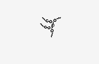 CCCCC[C@H]1CC[C@H](C(CCOCCC([C@H]2CC[C@H](CCCCC)CC2)[C@H]2CC[C@H]([C@H]3CC[C@H](CCCCC)CC3)CC2)[C@H]2CC[C@H]([C@H]3CC[C@H](CCCCC)CC3)CC2)CC1